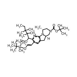 CCC(C)(C)C(C)(C)C(O[SiH3])c1nc2c(cc1C=CO[Si](C)(C)C(C)(C)C)C[C@@H]1CN(C(=O)OC(C)(C)C)C[C@@H](C)N21